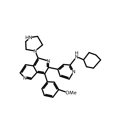 COc1cccc(-c2c(-c3ccnc(NC4CCCCC4)c3)nc(N3CCNCC3)c3ccncc23)c1